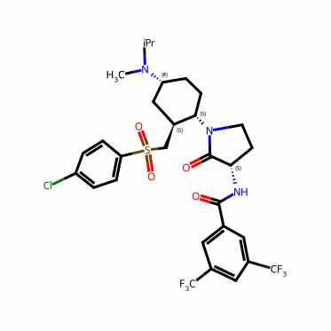 CC(C)N(C)[C@@H]1CC[C@H](N2CC[C@H](NC(=O)c3cc(C(F)(F)F)cc(C(F)(F)F)c3)C2=O)[C@@H](CS(=O)(=O)c2ccc(Cl)cc2)C1